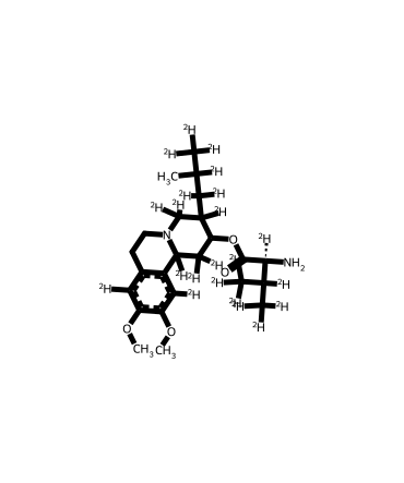 [2H]c1c2c(c([2H])c(OC)c1OC)C1([2H])N(CC2)C([2H])([2H])C([2H])(C([2H])([2H])C([2H])(C)C([2H])([2H])[2H])C(OC(=O)[C@@]([2H])(N)C([2H])(C([2H])([2H])[2H])C([2H])([2H])[2H])C1([2H])[2H]